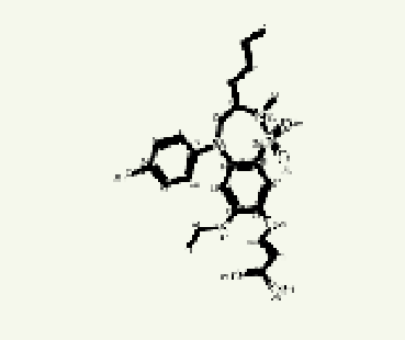 CCCCC1CN(c2ccc(F)cc2)c2cc(SCC)c(O/C=C/C(=O)O)cc2S(=O)(=O)N1C